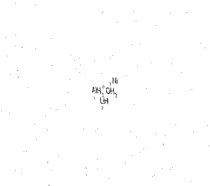 O.[AlH3].[LiH].[Ni]